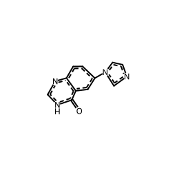 O=c1[nH]cnc2ccc(-n3ccnc3)cc12